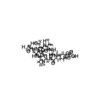 CC(=O)N[C@@H](Cc1ccc(OP(=O)(O)O)cc1)C(=O)NCC(=O)N1CCC[C@H]1C(=O)N[C@@H](CCC(N)=O)C(=O)N[C@H](C(=O)NC(C(N)=O)C(C)C)C(C)O